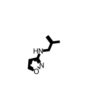 C=C(C)CNc1ccon1